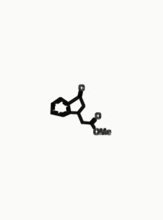 COC(=O)CC1CC(=O)c2ccccc21